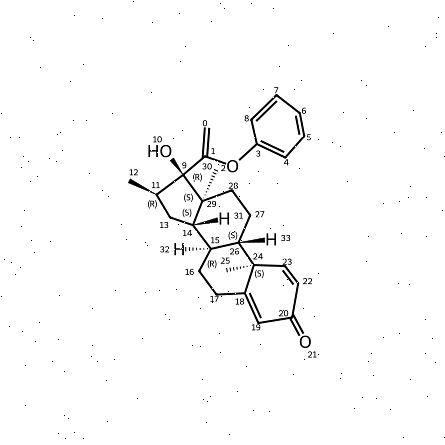 C=C(Oc1ccccc1)[C@@]1(O)[C@H](C)C[C@H]2[C@@H]3CCC4=CC(=O)C=C[C@]4(C)[C@H]3CC[C@@]21C